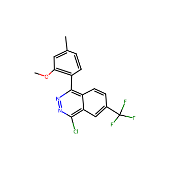 COc1cc(C)ccc1-c1nnc(Cl)c2cc(C(F)(F)F)ccc12